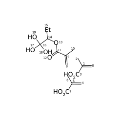 C=C(C)C(=O)O.C=C(C)C(=O)O.C=C(C)C(=O)OC(CC)C(O)(O)O